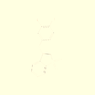 O=S1(=O)CC(Sc2ccc(Cl)c(Cl)c2)c2ccccc21